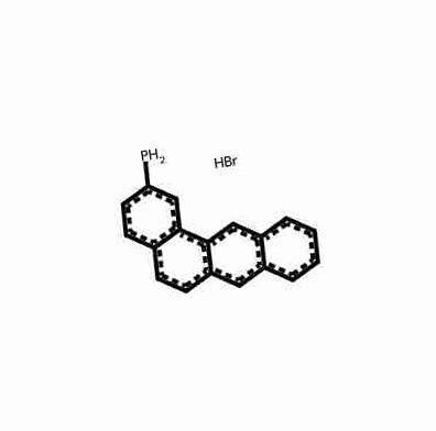 Br.Pc1ccc2ccc3cc4ccccc4cc3c2c1